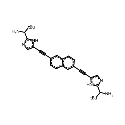 CC(C)(C)C(N)c1ncc(C#Cc2ccc3cc(C#Cc4cnc(C(N)C(C)(C)C)[nH]4)ccc3c2)[nH]1